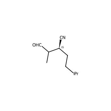 CC(C)CC[C@H](C#N)C(C)C=O